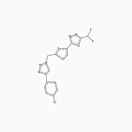 FC(F)c1nnc(-c2ccc(Cn3cc(-c4ccc(Cl)cc4)nn3)s2)o1